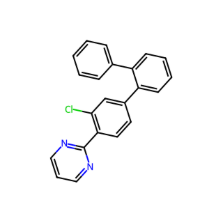 Clc1cc(-c2ccccc2-c2ccccc2)ccc1-c1ncccn1